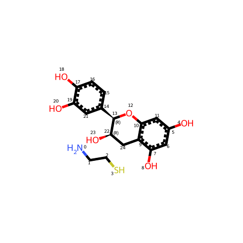 NCCS.Oc1cc(O)c2c(c1)O[C@H](c1ccc(O)c(O)c1)[C@H](O)C2